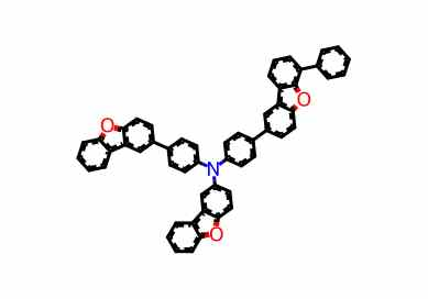 c1ccc(-c2cccc3c2oc2ccc(-c4ccc(N(c5ccc(-c6ccc7oc8ccccc8c7c6)cc5)c5ccc6oc7ccccc7c6c5)cc4)cc23)cc1